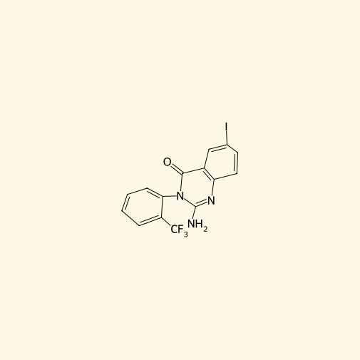 Nc1nc2ccc(I)cc2c(=O)n1-c1ccccc1C(F)(F)F